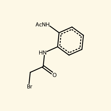 CC(=O)Nc1ccccc1NC(=O)CBr